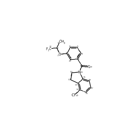 CC(Oc1cccc(C(=O)N2CCc3c(Cl)cccc32)c1)C(F)(F)F